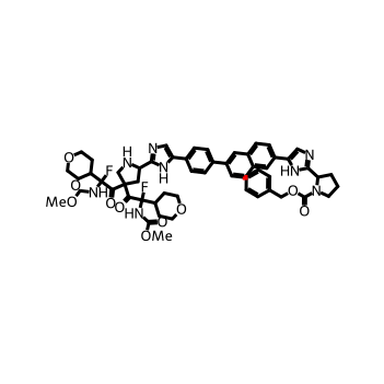 COC(=O)NC(F)(C(=O)C1(C(=O)C(F)(NC(=O)OC)C2CCOCC2)CNC(c2ncc(-c3ccc(-c4ccc5cc(-c6cnc(C7CCCN7C(=O)OCc7ccccc7)[nH]6)ccc5c4)cc3)[nH]2)C1)C1CCOCC1